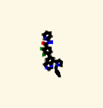 CC#CCN1CCCC1c1cc(-c2ccc(C(=O)Nc3ccccn3)c(F)c2F)cc2cncnc12